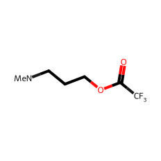 CNCCCOC(=O)C(F)(F)F